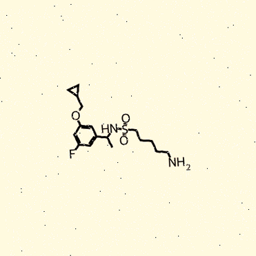 CC(NS(=O)(=O)CCCCCN)c1cc(F)cc(OCC2CC2)c1